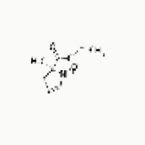 CCOC(=O)C1(C)CC=C[NH+]1[O-]